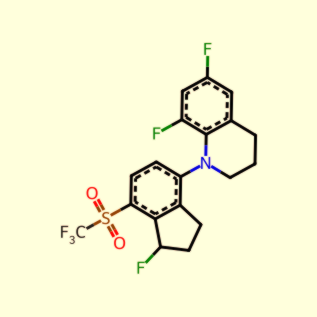 O=S(=O)(c1ccc(N2CCCc3cc(F)cc(F)c32)c2c1C(F)CC2)C(F)(F)F